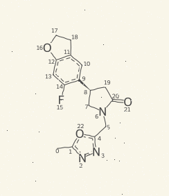 Cc1nnc(CN2C[C@@H](c3cc4c(cc3F)OCC4)CC2=O)o1